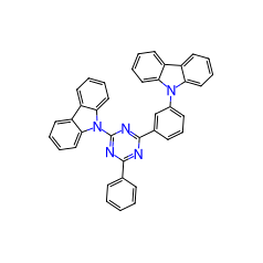 c1ccc(-c2nc(-c3cccc(-n4c5ccccc5c5ccccc54)c3)nc(-n3c4ccccc4c4ccccc43)n2)cc1